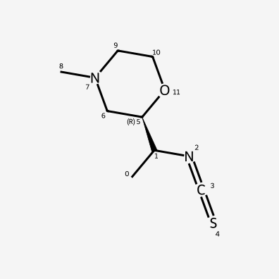 CC(N=C=S)[C@H]1CN(C)CCO1